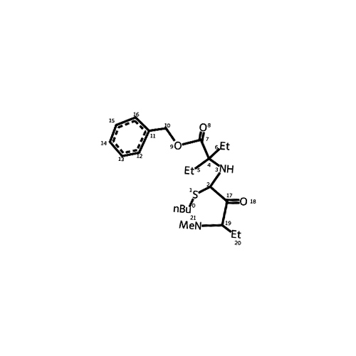 CCCCSC(NC(CC)(CC)C(=O)OCc1ccccc1)C(=O)C(CC)NC